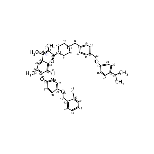 C/C(C(=O)N1CCN(Cc2ccc(COc3ccc(C(C)C)cc3)cc2)CC1)=C(\C)c1cc(C)c(Oc2ccc(OCc3ccccc3Cl)cn2)c(Cl)c1